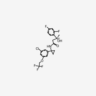 C[C@@](O)(CC(=O)NC1(c2cc(Cl)cc(OCC(F)(F)F)c2)CC1)c1ccc(F)cc1F